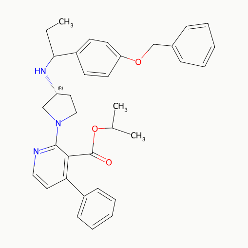 CCC(N[C@@H]1CCN(c2nccc(-c3ccccc3)c2C(=O)OC(C)C)C1)c1ccc(OCc2ccccc2)cc1